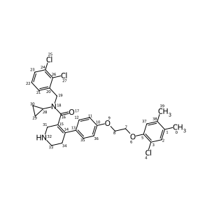 Cc1cc(Cl)c(OCCOc2ccc(C3=C(C(=O)N(Cc4cccc(Cl)c4Cl)C4CC4)CNCC3)cc2)cc1C